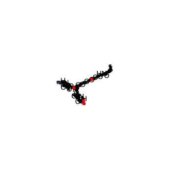 C/C=C1\C[C@H]2C=Nc3cc(OCc4cc(OCCOCCOCCOCCOCCOCCNC(=O)CCC(C)(C)SSC)cc(COc5cc6c(cc5OC)C(=O)N5C/C(=C/C)C[C@H]5C=N6)n4)c(OC)cc3C(=O)N2C1